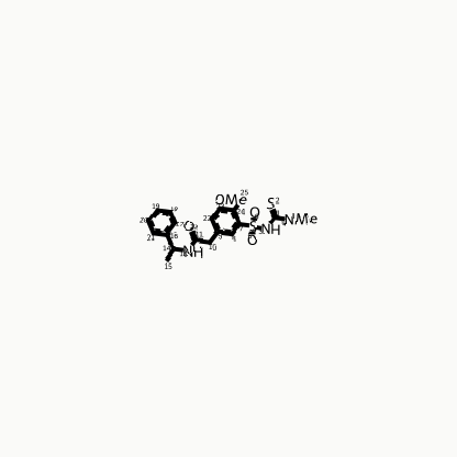 CNC(=S)NS(=O)(=O)c1cc(CC(=O)NC(C)c2ccccc2)ccc1OC